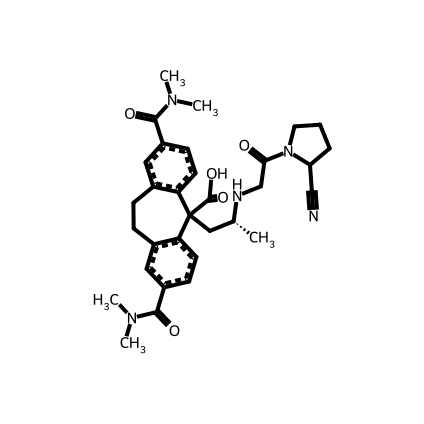 C[C@H](CC1(C(=O)O)c2ccc(C(=O)N(C)C)cc2CCc2cc(C(=O)N(C)C)ccc21)NCC(=O)N1CCCC1C#N